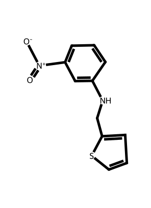 O=[N+]([O-])c1cccc(NCc2cccs2)c1